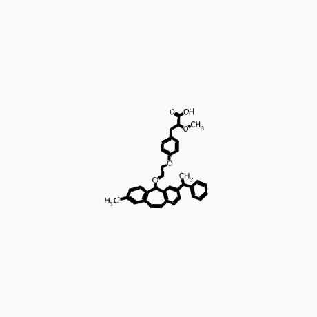 COC(Cc1ccc(OCCOC2c3ccc(C)cc3C=Cc3ccc(C(C)c4ccccc4)cc32)cc1)C(=O)O